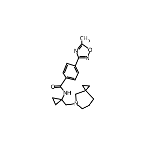 Cc1nc(-c2ccc(C(=O)NC3(CN4CCCC5(CC5)C4)CC3)cc2)no1